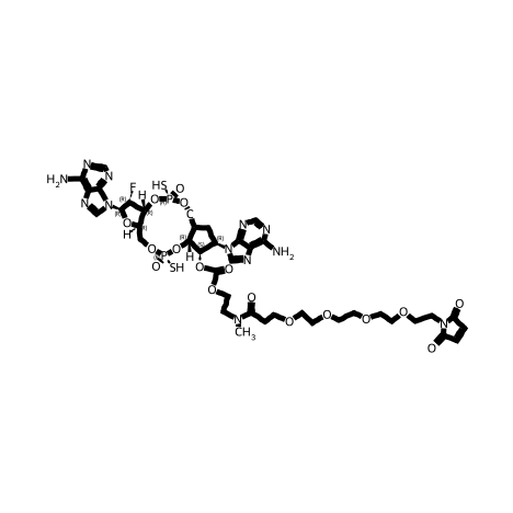 CN(CCOC(=O)O[C@@H]1[C@@H]2O[P@](=O)(S)OC[C@H]3O[C@@H](n4cnc5c(N)ncnc54)[C@H](F)[C@@H]3O[P@](=O)(S)OCC2C[C@H]1n1cnc2c(N)ncnc21)C(=O)CCOCCOCCOCCOCCN1C(=O)C=CC1=O